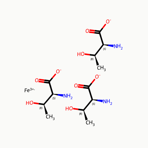 C[C@@H](O)[C@H](N)C(=O)[O-].C[C@@H](O)[C@H](N)C(=O)[O-].C[C@@H](O)[C@H](N)C(=O)[O-].[Fe+3]